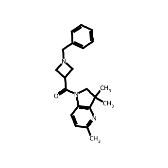 Cc1ccc2c(n1)C(C)(C)CN2C(=O)C1CN(Cc2ccccc2)C1